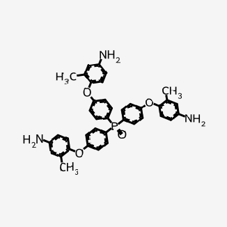 Cc1cc(N)ccc1Oc1ccc(P(=O)(c2ccc(Oc3ccc(N)cc3C)cc2)c2ccc(Oc3ccc(N)cc3C)cc2)cc1